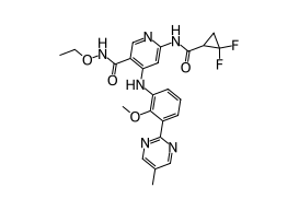 CCONC(=O)c1cnc(NC(=O)C2CC2(F)F)cc1Nc1cccc(-c2ncc(C)cn2)c1OC